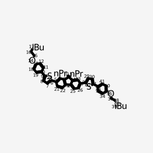 CCCC1(CCC)c2cc(-c3ccc(-c4ccc(OCCC(C)CC)cc4)s3)ccc2-c2ccc(-c3ccc(-c4ccc(OCC[C@@H](C)CC)cc4)s3)cc21